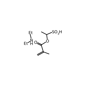 C=C(C)C(=O)OC(C)S(=O)(=O)O.CCNCC